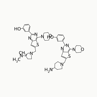 CN(C)C1CCN(Cc2cc3nc(-c4cccc(O)c4)nc(N4CCOCC4)c3s2)C1.NC1CCN(Cc2cc3nc(-c4cccc(O)c4)nc(N4CCOCC4)c3s2)CC1